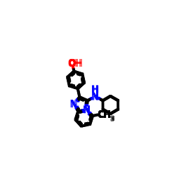 Cc1cccc2nc(-c3ccc(O)cc3)c(NC3CCCCC3)n12